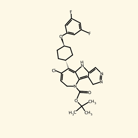 CC(C)(C)OC(=O)N1CC=C(Cl)C([C@H]2CC[C@H](Oc3cc(F)cc(F)c3)CC2)=c2[nH]c3c(c21)CN=NC=3